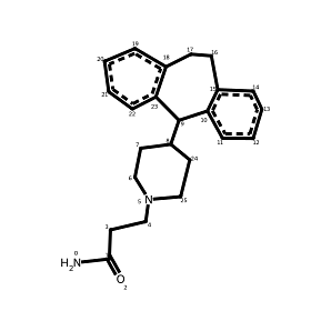 NC(=O)CCN1CCC(C2c3ccccc3CCc3ccccc32)CC1